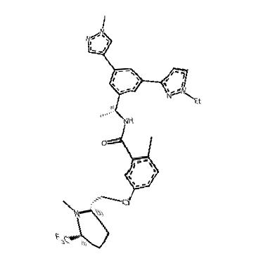 CCn1ccc(-c2cc(-c3cnn(C)c3)cc([C@@H](C)NC(=O)c3cc(OC[C@@H]4CC[C@@H](C(F)(F)F)N4C)ccc3C)c2)n1